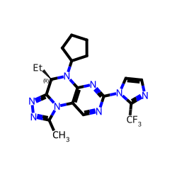 CC[C@@H]1c2nnc(C)n2-c2cnc(-n3ccnc3C(F)(F)F)nc2N1C1CCCC1